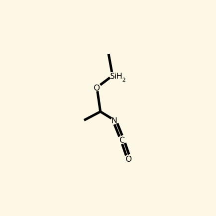 C[SiH2]OC(C)N=C=O